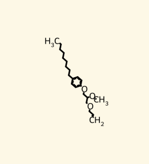 C=CCOCC(COc1ccc(CCCCCCCCC)cc1)OC